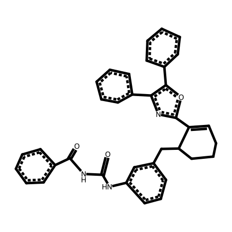 O=C(NC(=O)c1ccccc1)Nc1cccc(CC2CCCC=C2c2nc(-c3ccccc3)c(-c3ccccc3)o2)c1